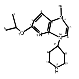 CC(C)Oc1ccc2c(n1)N(C1CCNCC1)C=CN2C